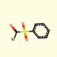 CCC(=O)S(=O)(=O)c1cc[c]cc1